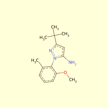 COc1cccc(C)c1-n1nc(C(C)(C)C)cc1N